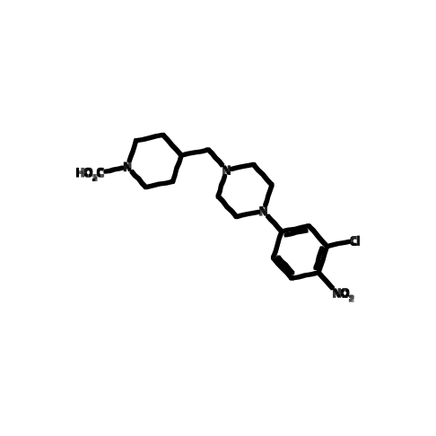 O=C(O)N1CCC(CN2CCN(c3ccc([N+](=O)[O-])c(Cl)c3)CC2)CC1